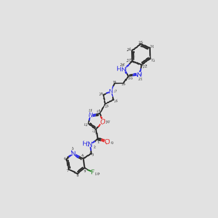 O=C(NCc1ncccc1F)c1cnc(C2CN(CCc3nc4ccccc4[nH]3)C2)o1